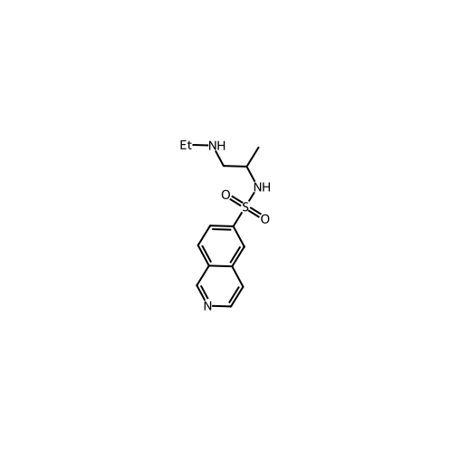 CCNCC(C)NS(=O)(=O)c1ccc2cnccc2c1